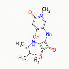 CC(C)[C@H](C)Nc1c(Nc2cn(C)c(=O)cc2O)c(=O)c1=O